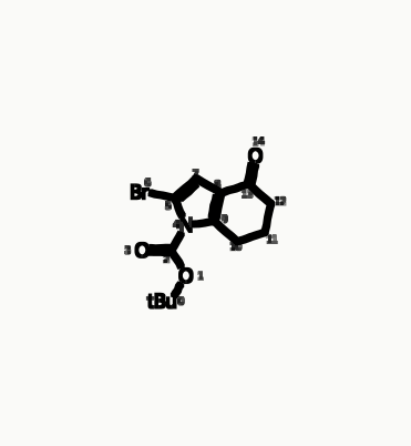 CC(C)(C)OC(=O)n1c(Br)cc2c1CCCC2=O